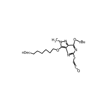 CCCCCCCCCCCCCCCCOc1c2nc(SC=C=O)nc(OCCCC)c2nn1C